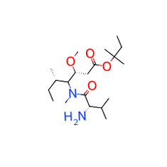 CC[C@H](C)C([C@@H](CC(=O)OC(C)(C)CC)OC)N(C)C(=O)[C@@H](N)C(C)C